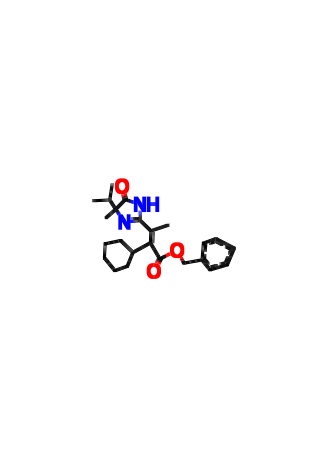 CC(C1=NC(C)(C(C)C)C(=O)N1)=C(C(=O)OCc1ccccc1)C1CCCCC1